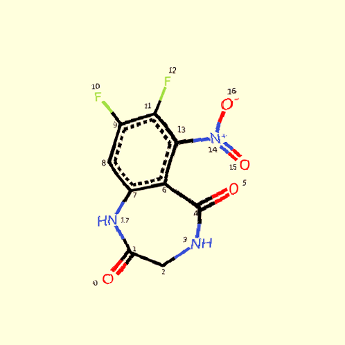 O=C1CNC(=O)c2c(cc(F)c(F)c2[N+](=O)[O-])N1